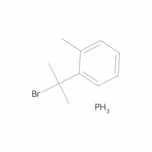 Cc1ccccc1C(C)(C)Br.P